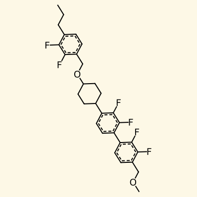 CCCc1ccc(COC2CCC(c3ccc(-c4ccc(COC)c(F)c4F)c(F)c3F)CC2)c(F)c1F